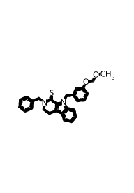 COCOc1cccc(Cn2c3c(c4ccccc42)CCN(Cc2ccccc2)C3=S)c1